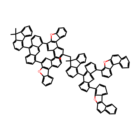 CC1(C)c2ccccc2-c2c(-c3c4cccc(-c5cc6ccccc6c6c5oc5ccccc56)c4cc4c(-c5cc6ccc(CC7(C)c8ccccc8-c8c(-c9c%10cccc(-c%11cccc%12c%11oc%11ccc%13ccccc%13c%11%12)c%10cc%10c(-c%11cccc%12c%11oc%11ccc%13ccccc%13c%11%12)cccc9%10)cccc87)cc6c6c5oc5ccccc56)cccc34)cccc21